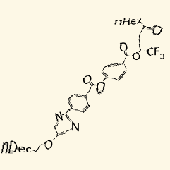 CCCCCCCCCCCCOc1cnc(-c2ccc(C(=O)Oc3ccc(C(=O)O[C@H](CC(=O)CCCCCC)C(F)(F)F)cc3)cc2)nc1